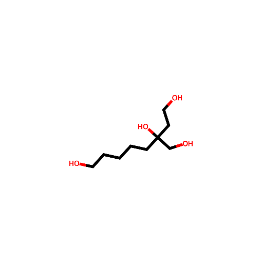 OCCCCCC(O)(CO)CCO